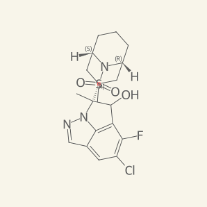 CC1([C@H]2C[C@H]3CCC[C@@H](C2)N3S(C)(=O)=O)C(O)c2c(F)c(Cl)cc3cnn1c23